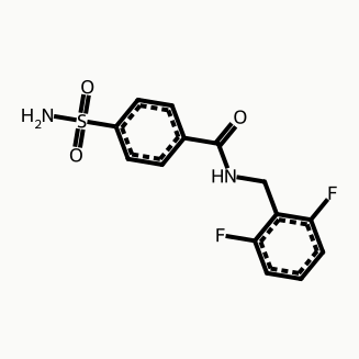 NS(=O)(=O)c1ccc(C(=O)NCc2c(F)cccc2F)cc1